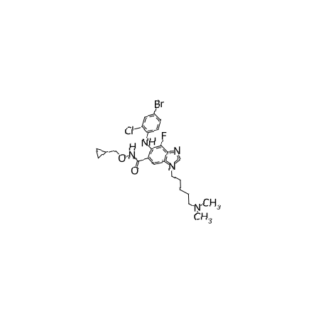 CN(C)CCCCCn1cnc2c(F)c(Nc3ccc(Br)cc3Cl)c(C(=O)NOCC3CC3)cc21